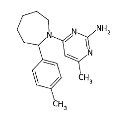 Cc1ccc(C2CCCCCN2c2cc(C)nc(N)n2)cc1